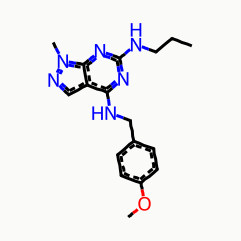 CCCNc1nc(NCc2ccc(OC)cc2)c2cnn(C)c2n1